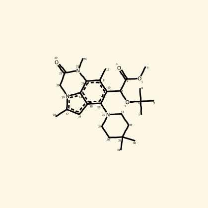 COC(=O)C(OC(C)(C)C)c1c(C)c2c3c(cc(C)n3CC(=O)N2C)c1N1CCC(C)(C)CC1